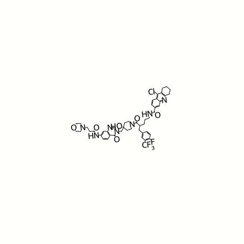 O=C(CCN1CCOCC1)Nc1ccc2c(=O)n(CC3(O)CCN(C(=O)C(CCCNC(=O)c4ccc5c(Cl)c6c(nc5c4)CCCC6)Cc4ccc(F)c(C(F)(F)F)c4)CC3)cnc2c1